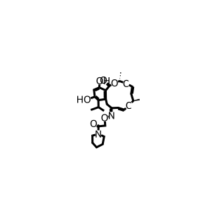 CC(C)c1c(O)cc(O)c2c1CC(=NOCC(=O)N1CCCCC1)/C=C/C[C@H](C)/C=C/C[C@@H](C)OC2=O